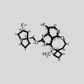 CN1c2nc(OC[C@@]34CCCN3C[C@H](F)C4)nc3c(F)cnc(c23)OCCC12CCC2